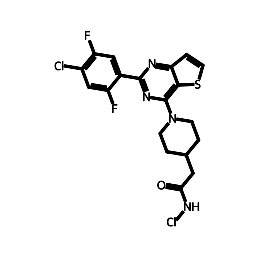 O=C(CC1CCN(c2nc(-c3cc(F)c(Cl)cc3F)nc3ccsc23)CC1)NCl